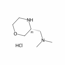 CN(C)C[C@@H]1COCCN1.Cl